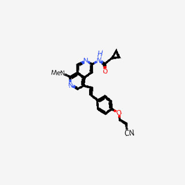 CNc1ncc(C=Cc2ccc(OCCC#N)cc2)c2cc(NC(=O)C3CC3)ncc12